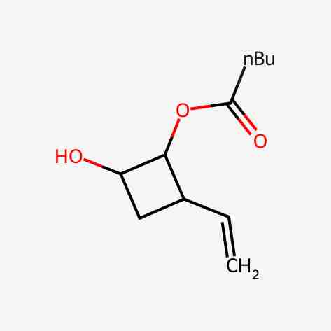 C=CC1CC(O)C1OC(=O)CCCC